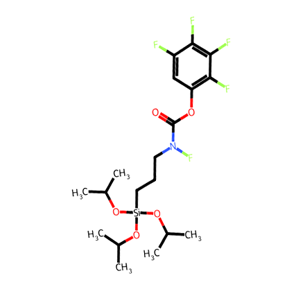 CC(C)O[Si](CCCN(F)C(=O)Oc1cc(F)c(F)c(F)c1F)(OC(C)C)OC(C)C